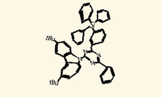 CC(C)(C)c1ccc2c(c1)c1cc(C(C)(C)C)ccc1n2-c1nc(-c2ccccc2)nc(-c2cccc([Si](c3ccccc3)(c3ccccc3)c3ccccc3)c2)n1